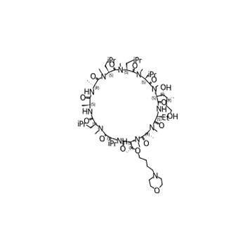 CC[C@@H]1NC(=O)[C@H]([C@H](O)[C@H](C)CCO)N(C)C(=O)[C@H](C(C)C)N(C)C(=O)[C@H](CC(C)C)N(C)C(=O)[C@H](CC(C)C)N(C)C(=O)[C@@H](C)NC(=O)[C@H](C)NC(=O)[C@H](CC(C)C)N(C)C(=O)[C@H](C(C)C)NC(=O)[C@H]([C@@H](C)OCCCCN2CCOCC2)N(C)C(=O)[C@@H](C)N(C)C1=O